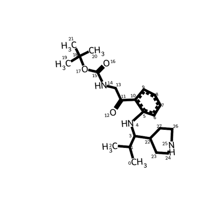 CC(C)C(Nc1ccccc1C(=O)CNC(=O)OC(C)(C)C)C1CCNCC1